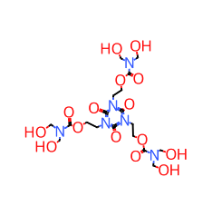 O=C(OCCn1c(=O)n(CCOC(=O)N(CO)CO)c(=O)n(CCOC(=O)N(CO)CO)c1=O)N(CO)CO